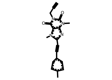 C#CCn1c(=O)c2c(nc(C#Cc3ccc(C)cc3)n2C)n(C)c1=O